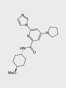 CO[C@H]1CC[C@H](NC(=O)c2cc(N3CCCC3)cc(-n3ccnc3)n2)CC1